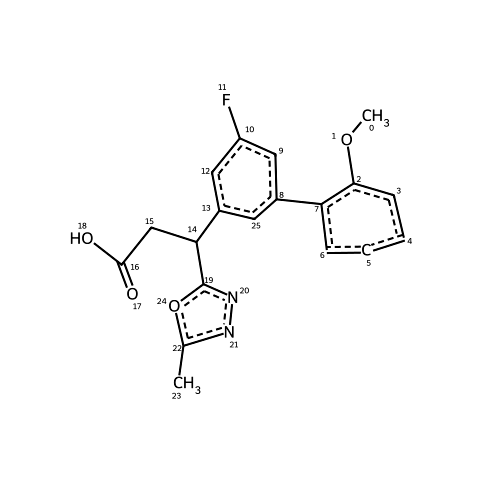 COc1ccccc1-c1cc(F)cc(C(CC(=O)O)c2nnc(C)o2)c1